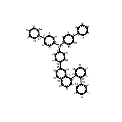 c1ccc(-c2ccc(N(c3ccc(-c4ccccc4)cc3)c3ccc(-c4ccc5cccc(-c6ccccc6-c6ccccc6)c5c4)cc3)cc2)cc1